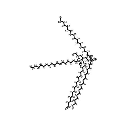 CCCCCCCCCCCCCCCCCCOP(=O)(CCC(CCCC)P(=O)(OCCCCCCCCCCCCCCCCCC)OCCCCCCCCCCCCCCCCCC)OCCCCCCCCCCCCCCCCCC